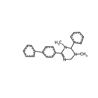 CN1CN=C(c2ccc(-c3ccccc3)cc2)N(C)C1c1ccccc1